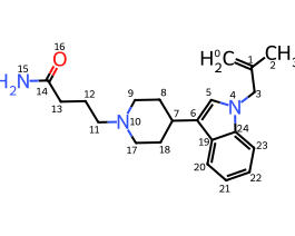 C=C(C)Cn1cc(C2CCN(CCCC(N)=O)CC2)c2ccccc21